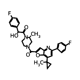 C[C@H]1CN(C(=O)c2cc3nc(-c4ccc(F)cc4)cc(C4(C)CC4)c3o2)CCN1C(=O)C(O)c1ccc(F)cc1